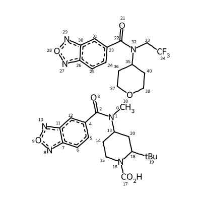 CN(C(=O)c1ccc2nonc2c1)C1CCN(C(=O)O)C(C(C)(C)C)C1.O=C(c1ccc2nonc2c1)N(CC(F)(F)F)C1CCOCC1